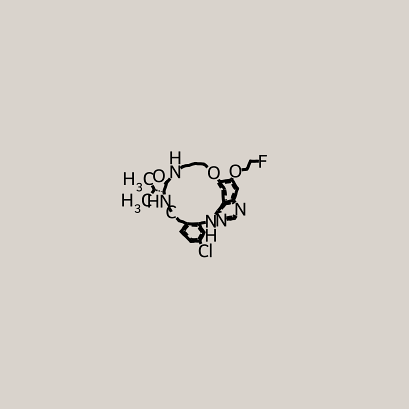 CC(C)[C@H]1NCCc2ccc(Cl)cc2Nc2ncnc3cc(OCCF)c(cc23)OCCCNC1=O